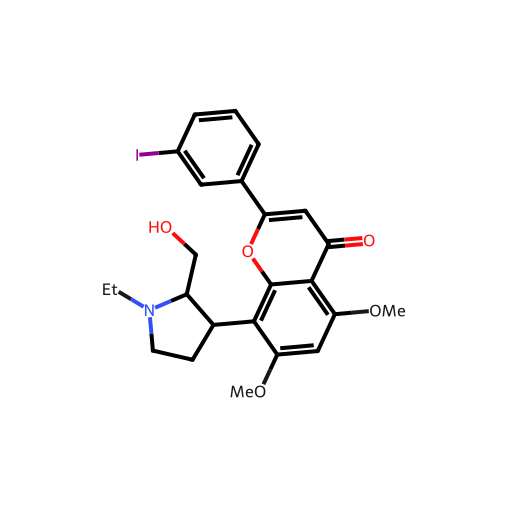 CCN1CCC(c2c(OC)cc(OC)c3c(=O)cc(-c4cccc(I)c4)oc23)C1CO